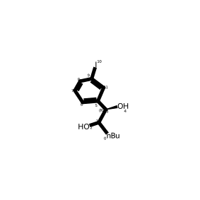 CCCCC(O)[C@H](O)c1cccc(I)c1